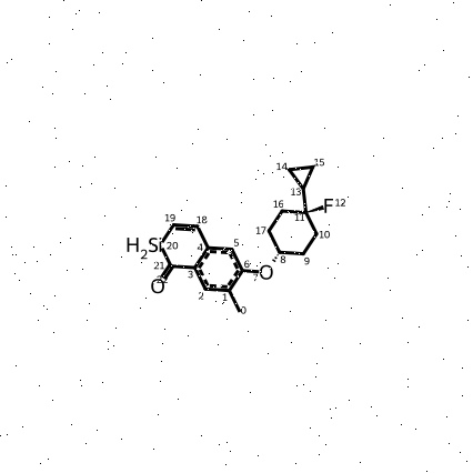 Cc1cc2c(cc1O[C@H]1CC[C@@](F)(C3CC3)CC1)C=C[SiH2]C2=O